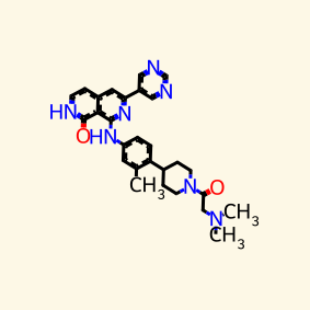 Cc1cc(Nc2nc(-c3cncnc3)cc3cc[nH]c(=O)c23)ccc1C1CCN(C(=O)CN(C)C)CC1